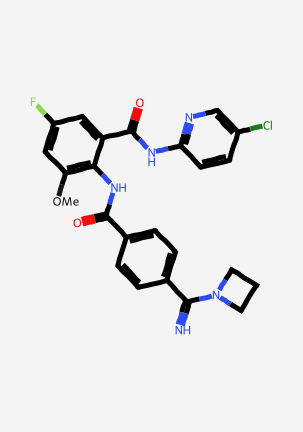 COc1cc(F)cc(C(=O)Nc2ccc(Cl)cn2)c1NC(=O)c1ccc(C(=N)N2CCC2)cc1